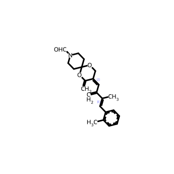 C=C1OC2(CCN(C=O)CC2)OC/C1=C/C(=C)/C(C)=C/c1ccccc1C